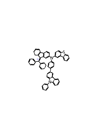 C1=CC(/C(=C2/C3=C(C=CCC3)c3ccc(N(c4ccc(-c5ccc6c(c5)c5ccccc5n6-c5ccccc5)cc4)c4ccc5sc6ccccc6c5c4)cc32)c2ccccc2)=CCC1